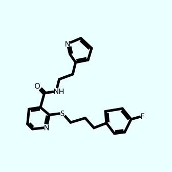 O=C(NCCc1cccnc1)c1cccnc1SCCCc1ccc(F)cc1